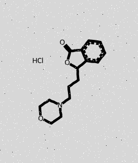 Cl.O=C1OC(CCCN2CCOCC2)c2ccccc21